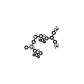 FC(F)(F)Oc1ccc(-c2cc(-c3ccc(OC(F)(F)F)cc3)cc(-c3ccc4c(c3)Oc3ccc(-c5ccnc(-c6ccc(-c7nc(-c8ccccc8)nc(-c8ccc9c(c8)Oc8ccccc8C98c9ccccc9-c9ccccc98)n7)cc6)c5)cc3C43c4ccccc4-c4ccccc43)c2)cc1